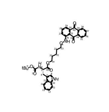 CC(C)(C)OC(=O)N[C@@H](Cc1c[nH]c2ccccc12)C(=O)OCCCCCONc1cccc2c1C(=O)c1ccccc1C2=O